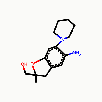 CC1(CO)Cc2cc(N)c(N3CC[CH]CC3)cc2O1